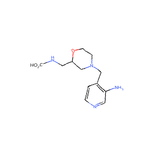 Nc1cnccc1CN1CCOC(CNC(=O)O)C1